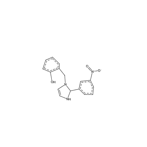 O=[N+]([O-])c1cccc(C2NC=CN2Cc2ccccc2O)c1